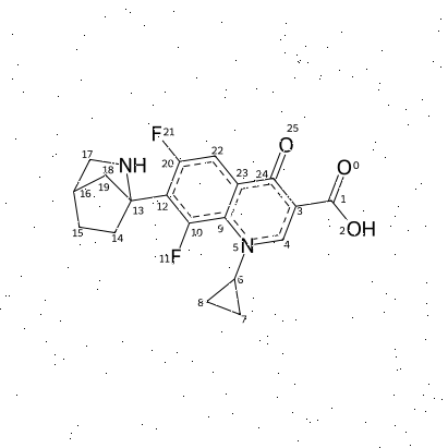 O=C(O)c1cn(C2CC2)c2c(F)c(C34CCC(CN3)C4)c(F)cc2c1=O